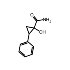 NC(=O)C1(O)CC1c1ccccc1